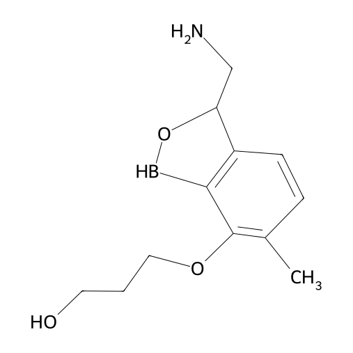 Cc1ccc2c(c1OCCCO)BOC2CN